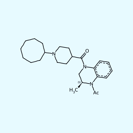 CC(=O)N1c2ccccc2N(C(=O)C2CCN(C3CCCCCCC3)CC2)C[C@@H]1C